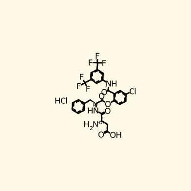 Cl.N[C@@H](CC(=O)O)C(=O)N[C@@H](Cc1ccccc1)C(=O)Oc1ccc(Cl)cc1C(=O)Nc1cc(C(F)(F)F)cc(C(F)(F)F)c1